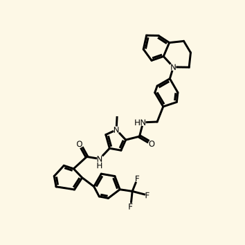 Cn1cc(NC(=O)c2ccccc2-c2ccc(C(F)(F)F)cc2)cc1C(=O)NCc1ccc(N2CCCc3ccccc32)cc1